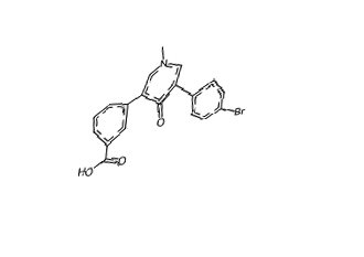 Cn1cc(-c2ccc(Br)cc2)c(=O)c(-c2cccc(C(=O)O)c2)c1